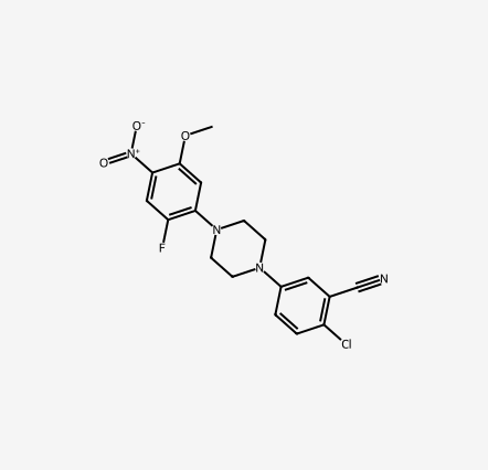 COc1cc(N2CCN(c3ccc(Cl)c(C#N)c3)CC2)c(F)cc1[N+](=O)[O-]